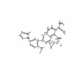 COc1ccc(-n2cccn2)cc1-c1ccc2c(N[C@H](C)C3CC3)c(C(N)=O)nnc2c1